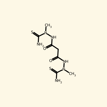 CN(NC(=O)CC(=O)NN(C)C(N)=S)C(N)=S